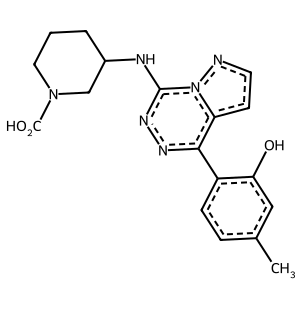 Cc1ccc(-c2nnc(NC3CCCN(C(=O)O)C3)n3nccc23)c(O)c1